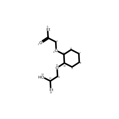 CCC(=O)COC1CCCCC1OCC(O)CC